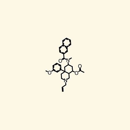 C=CCN1CCC2(c3cccc(OC)c3)CC(N(C)C(=O)c3ccc4ccccc4c3)CC(OC(C)=O)C2C1